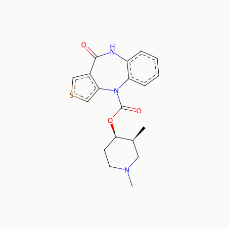 C[C@H]1CN(C)CC[C@H]1OC(=O)N1c2ccccc2NC(=O)c2cscc21